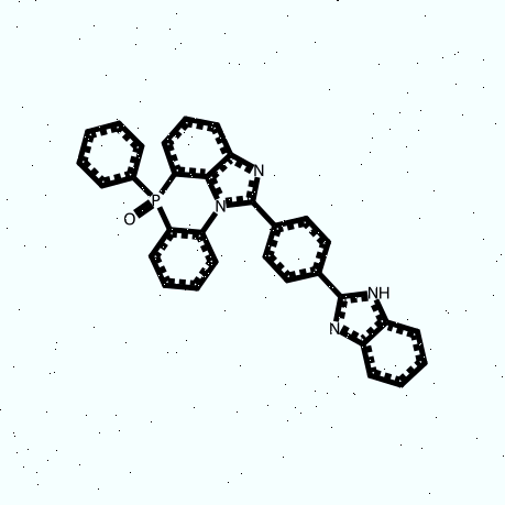 O=P1(c2ccccc2)c2ccccc2-n2c(-c3ccc(-c4nc5ccccc5[nH]4)cc3)nc3cccc1c32